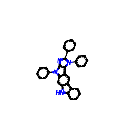 c1ccc(-c2nc3c(c4cc5c(cc4n3-c3ccccc3)[nH]c3ccccc35)n2-c2ccccc2)cc1